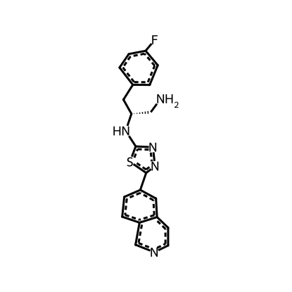 NC[C@@H](Cc1ccc(F)cc1)Nc1nnc(-c2ccc3cnccc3c2)s1